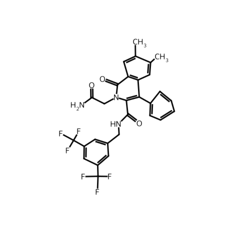 Cc1cc2c(-c3ccccc3)c(C(=O)NCc3cc(C(F)(F)F)cc(C(F)(F)F)c3)n(CC(N)=O)c(=O)c2cc1C